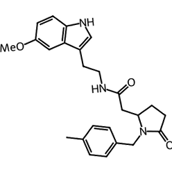 COc1ccc2[nH]cc(CCNC(=O)CC3CCC(=O)N3Cc3ccc(C)cc3)c2c1